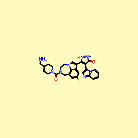 NCC1CCN(C(=O)N2CCn3cc(-c4[nH][nH]c(=O)c4-c4cnc5ccccn45)c4cc(F)cc(c43)C2)CC1